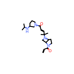 C=CC(=O)N1CCC2C1CN2C(C)(C)/C=C/C(=O)N1CCCC(NC(C)C)C1